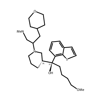 CNCC(CC1CCOCC1)N1CCC[C@@H]([C@@](O)(CCCCOC)c2cccc3ccsc23)C1